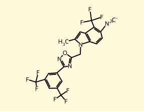 [C-]#[N+]c1ccc2c(cc(C)n2Cc2nc(-c3cc(C(F)(F)F)cc(C(F)(F)F)c3)no2)c1C(F)(F)F